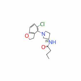 CCCC(=O)N[C@H]1CCN(c2c(Cl)ccc3c2CCO3)C1